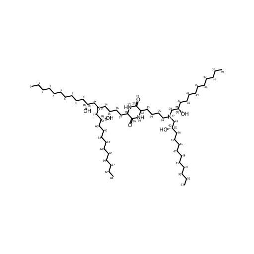 CCCCCCCCCC[C@@H](O)CN(CCCCC1NC(=O)C(CCCCN(C[C@H](O)CCCCCCCCCC)C[C@@H](O)CCCCCCCCCC)NC1=O)C[C@H](O)CCCCCCCCCC